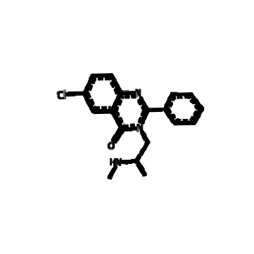 CNC(C)Cn1c(-c2ccccc2)nc2ccc(Cl)cc2c1=O